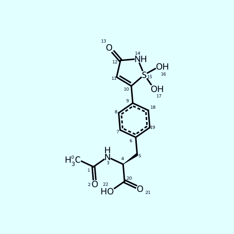 CC(=O)N[C@@H](Cc1ccc(C2=CC(=O)NS2(O)O)cc1)C(=O)O